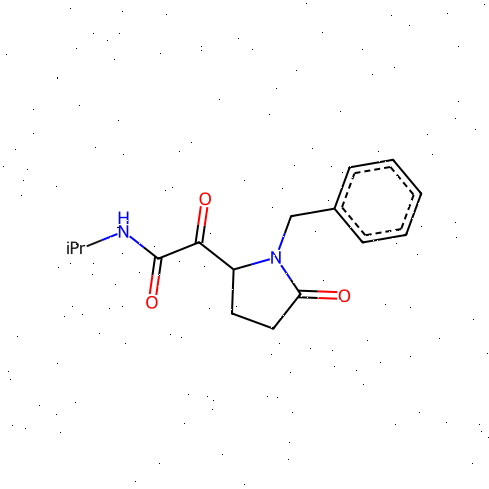 CC(C)NC(=O)C(=O)C1CCC(=O)N1Cc1ccccc1